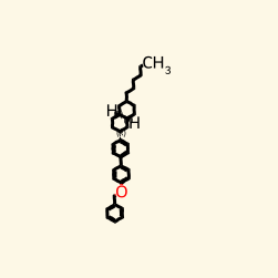 CCCCCCC1CC[C@@H]2C[C@H](c3ccc(-c4ccc(OCc5ccccc5)cc4)cc3)CC[C@@H]2C1